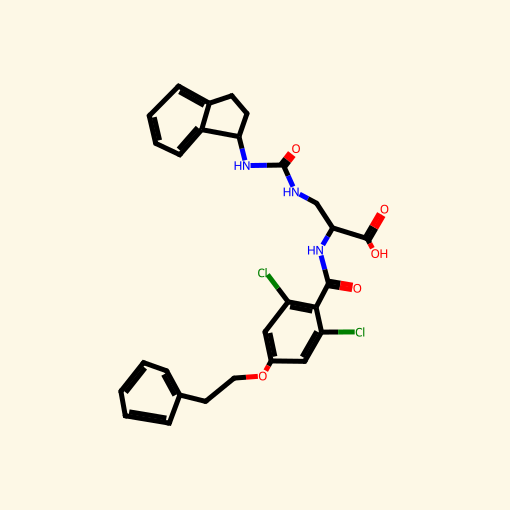 O=C(NCC(NC(=O)c1c(Cl)cc(OCCc2ccccc2)cc1Cl)C(=O)O)NC1CCc2ccccc21